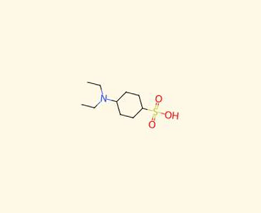 CCN(CC)C1CCC(S(=O)(=O)O)CC1